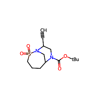 C#CC1CN(C(=O)OC(C)(C)C)C2CCCS(=O)(=O)N1C2